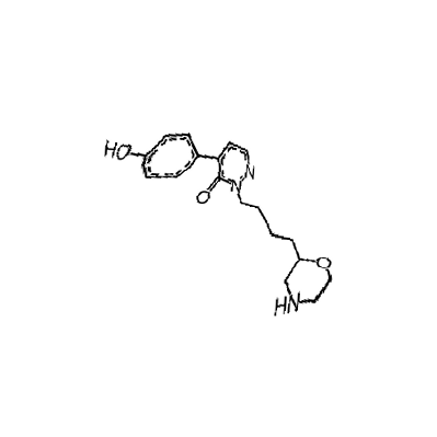 O=c1c(-c2ccc(O)cc2)ccnn1CCCCC1CNCCO1